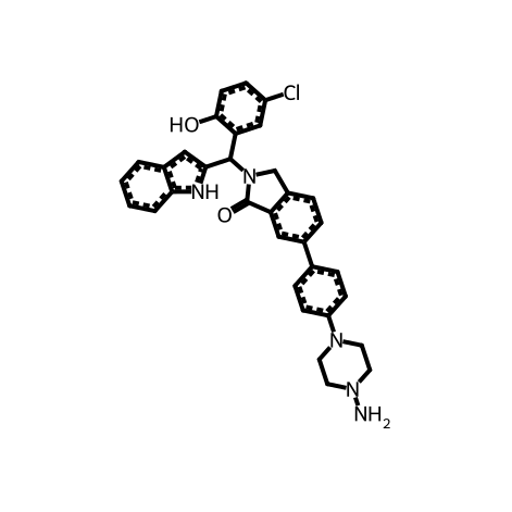 NN1CCN(c2ccc(-c3ccc4c(c3)C(=O)N(C(c3cc5ccccc5[nH]3)c3cc(Cl)ccc3O)C4)cc2)CC1